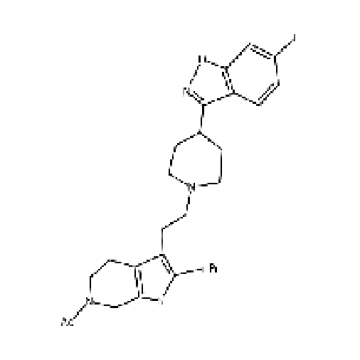 CCCc1sc2c(c1CCN1CCC(c3noc4cc(F)ccc34)CC1)CCN(C(C)=O)C2